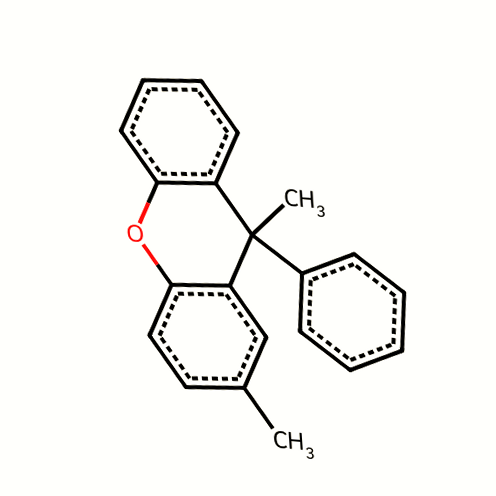 Cc1ccc2c(c1)C(C)(c1ccccc1)c1ccccc1O2